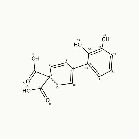 O=C(O)C1(C(=O)O)C=CC(c2cccc(O)c2O)=CC1